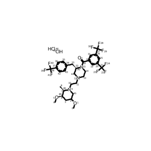 COC1C[C@@H](OC)[C@@H](C)N(CCN2CCN(C(=O)c3cc(C(F)(F)F)cc(C(F)(F)F)c3)[C@H](Cc3ccc(C(F)(F)F)cc3)C2)C1.Cl.Cl